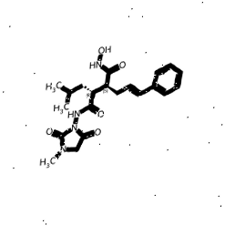 CC(C)C[C@@H](C(=O)NN1C(=O)CN(C)C1=O)[C@H](CC=Cc1ccccc1)C(=O)NO